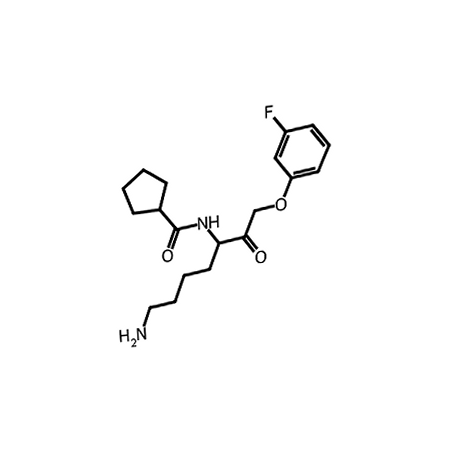 NCCCCC(NC(=O)C1CCCC1)C(=O)COc1cccc(F)c1